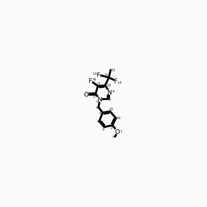 COc1ccc(Cn2cnc(C(C)(F)F)c(F)c2=O)cc1